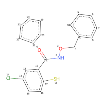 O=C(NOCc1ccccc1)c1cc(Cl)ccc1S.c1ccccc1